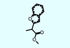 COC(=O)C(C)c1cc2ccccc2o1